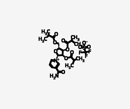 CC(C)C(=O)OC[C@H]1O[C@@H]([n+]2cccc(C(N)=O)c2)[C@H](OC(=O)C(C)C)[C@@H]1OC(=O)C(C)C.O=S(=O)([O-])C(F)(F)F